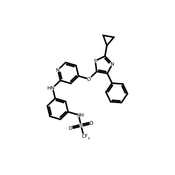 O=S(=O)(Nc1cccc(Nc2cc(Oc3sc(C4CC4)nc3-c3ccccc3)ccn2)c1)C(F)(F)F